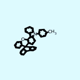 Cc1ccc(-n2c3ccccc3c3c4c(ccc32)C2(c3ccccc3O4)c3ccccc3-c3ccccc32)cc1